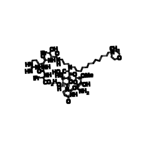 CO[C@@H]1C(O[C@H](C(C(=O)O)N(CCCCCCCCCCCC[N+]2(C)CCOCC2)CCCNC(=O)C(NC(=O)C(NC(=O)NC(C(=O)O)C(C)C)C2CCNC(=N)N2)C(O)C(C)C)[C@H]2O[C@@H](n3ccc(=O)[nH]c3=O)[C@H](O)[C@H]2O)O[C@H](CN)[C@@H]1O